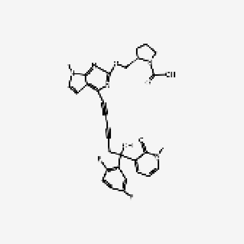 Cn1cccc(C(O)(CC#CC#Cc2nc(OC[C@H]3CCCN3C(=O)O)nc3c2ccn3C)c2cc(F)ccc2F)c1=O